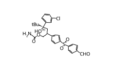 CC(C)(C)[C@](O)(CC(COC(N)=O)c1ccc(S(=O)(=O)c2ccc(C=O)cc2)cc1)c1cccc(Cl)c1